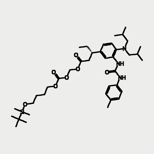 CC[C@@H](CC(=O)OCOC(=O)OCCCCO[Si](C)(C)C(C)(C)C)c1ccc(N(CC(C)C)CC(C)C)c(NC(=O)Nc2ccc(C)cc2)c1